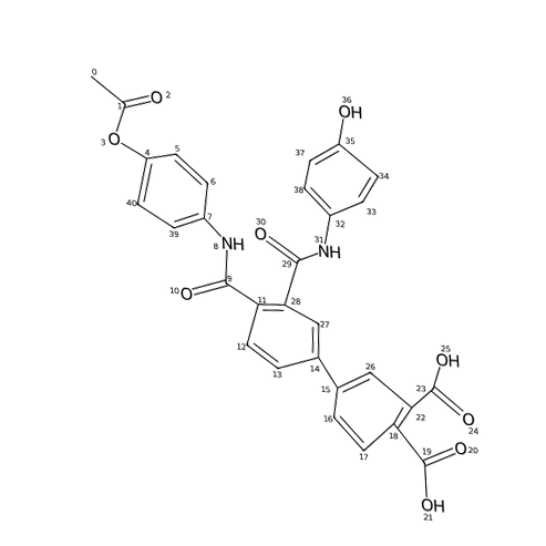 CC(=O)Oc1ccc(NC(=O)c2ccc(-c3ccc(C(=O)O)c(C(=O)O)c3)cc2C(=O)Nc2ccc(O)cc2)cc1